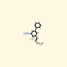 Nc1cc(-c2ccccc2)cc(/C=C/C(=O)O)c1S